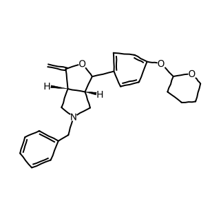 C=C1OC(c2ccc(OC3CCCCO3)cc2)[C@@H]2CN(Cc3ccccc3)C[C@H]12